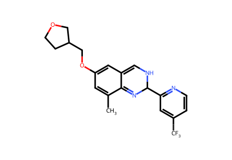 Cc1cc(OCC2CCOC2)cc2c1=NC(c1cc(C(F)(F)F)ccn1)NC=2